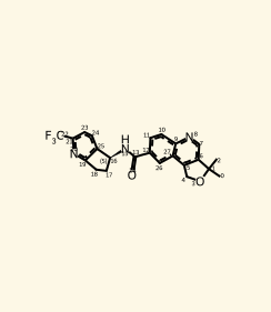 CC1(C)OCc2c1cnc1ccc(C(=O)N[C@H]3CCc4nc(C(F)(F)F)ccc43)cc21